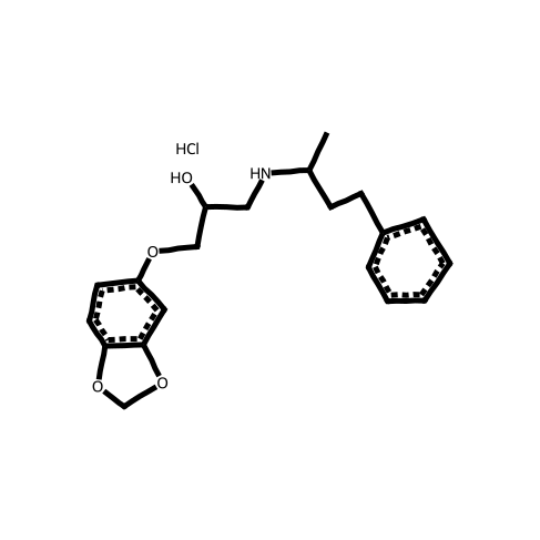 CC(CCc1ccccc1)NCC(O)COc1ccc2c(c1)OCO2.Cl